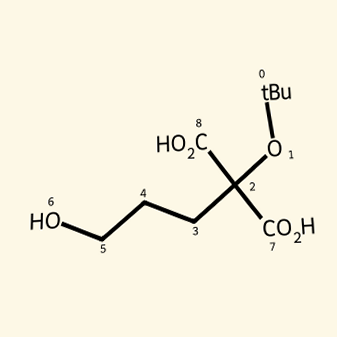 CC(C)(C)OC(CCCO)(C(=O)O)C(=O)O